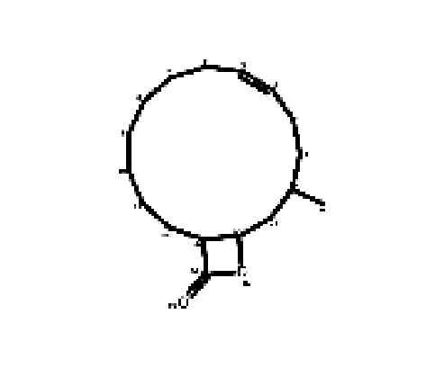 CC1CC/C=C\CCCCCCCC2C(=O)OC2C1